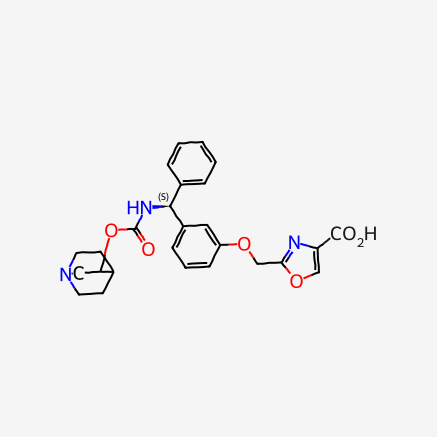 O=C(N[C@@H](c1ccccc1)c1cccc(OCc2nc(C(=O)O)co2)c1)OC1CN2CCC1CC2